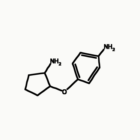 Nc1ccc(OC2CCCC2N)cc1